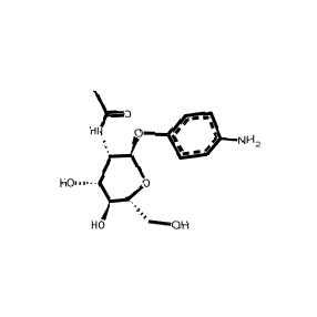 CC(=O)N[C@@H]1[C@@H](Oc2ccc(N)cc2)O[C@H](CO)[C@@H](O)[C@@H]1O